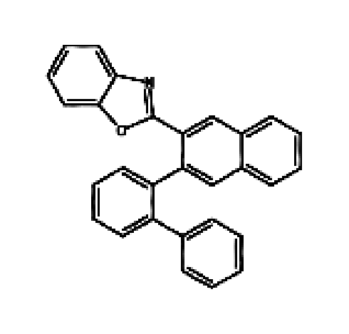 c1ccc(-c2ccccc2-c2cc3ccccc3cc2-c2nc3ccccc3o2)cc1